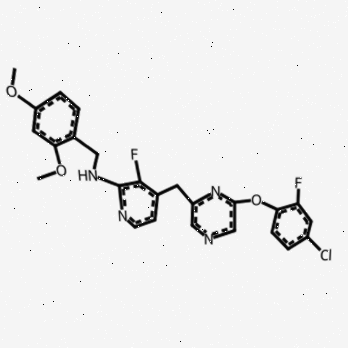 COc1ccc(CNc2nccc(Cc3cncc(Oc4ccc(Cl)cc4F)n3)c2F)c(OC)c1